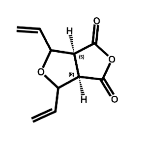 C=CC1OC(C=C)[C@@H]2C(=O)OC(=O)[C@H]12